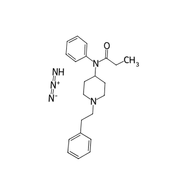 CCC(=O)N(c1ccccc1)C1CCN(CCc2ccccc2)CC1.[N-]=[N+]=N